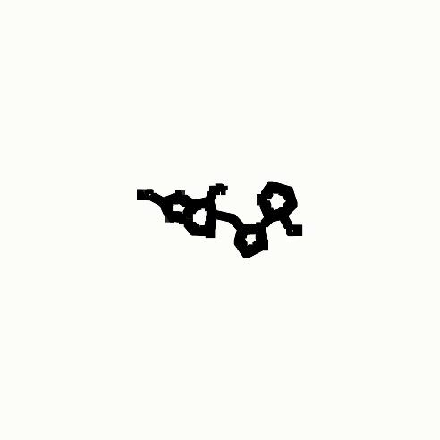 CCCc1c(Cc2ccnn2-c2ncccc2C#N)ncn2nc(C#N)nc12